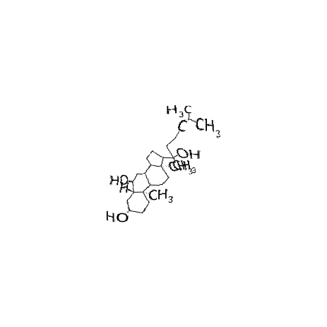 CC(C)CCC[C@](C)(O)C1CCC2C3C[C@H](O)[C@H]4C[C@@H](O)CC[C@]4(C)C3CC[C@@]21C